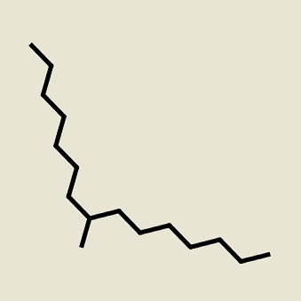 CCCCCCCC(C)CCCCCCC